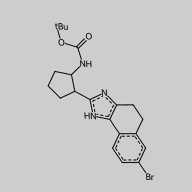 CC(C)(C)OC(=O)NC1CCCC1c1nc2c([nH]1)-c1ccc(Br)cc1CC2